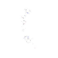 COCCOc1ccc2nc(CCNCCc3nc(C(=O)NCc4ncccc4F)co3)[nH]c2c1